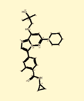 Cc1cc(-c2cnc3c(NCC(C)(C)O)cc(N4CCCCC4)nn23)ccc1C(=O)NC1CC1